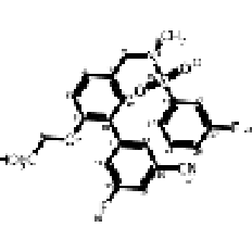 CN(Cc1ccc(OCC(=O)O)c(-c2cc(F)cc(C#N)c2)c1)S(=O)(=O)c1cccc(F)c1